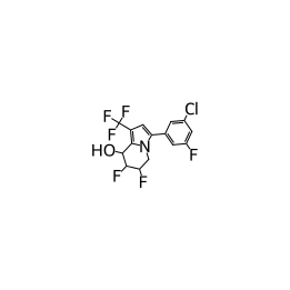 OC1c2c(C(F)(F)F)cc(-c3cc(F)cc(Cl)c3)n2CC(F)C1F